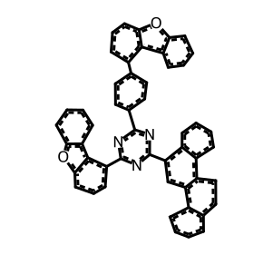 c1ccc2c(c1)ccc1c3ccccc3c(-c3nc(-c4ccc(-c5cccc6oc7ccccc7c56)cc4)nc(-c4cccc5oc6ccccc6c45)n3)cc21